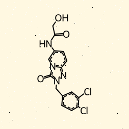 O=C(CO)Nc1ccc2nn(Cc3ccc(Cl)c(Cl)c3)c(=O)n2c1